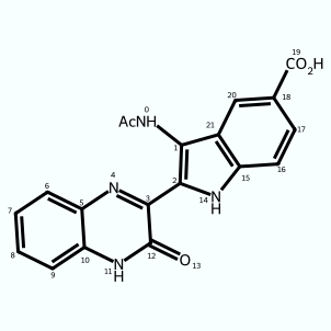 CC(=O)Nc1c(-c2nc3ccccc3[nH]c2=O)[nH]c2ccc(C(=O)O)cc12